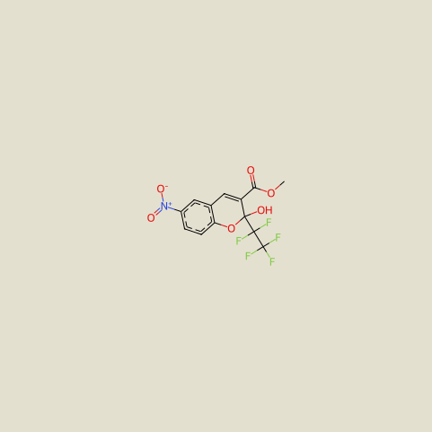 COC(=O)C1=Cc2cc([N+](=O)[O-])ccc2OC1(O)C(F)(F)C(F)(F)F